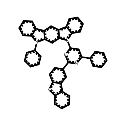 c1ccc(-c2cc(-n3c4ccccc4c4cc5c6ccccc6n(-c6ccccc6)c5cc43)nc(-c3ccc4sc5ccccc5c4c3)n2)cc1